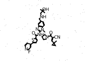 CC(C)(O)CNCc1ccc2c(c1)nc(NC(=O)c1ccc(-c3ccnc(F)c3)s1)n2C[C@H]1CCCN1C(=O)C(C#N)=CC1(C)CC1